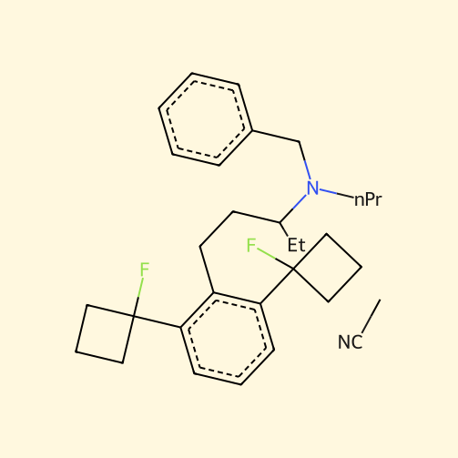 CC#N.CCCN(Cc1ccccc1)C(CC)CCc1c(C2(F)CCC2)cccc1C1(F)CCC1